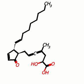 CCCCCCCC=C[C@H]1C=CC(=O)[C@@H]1CC=C=C(C)CC(O)C(=O)O